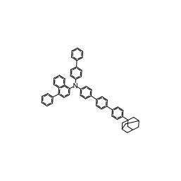 c1ccc(-c2ccc(N(c3ccc(-c4ccc(-c5ccc(C67CC8CC(CC(C8)C6)C7)cc5)cc4)cc3)c3ccc(-c4ccccc4)c4ccccc34)cc2)cc1